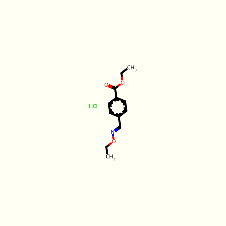 CCON=Cc1ccc(C(=O)OCC)cc1.Cl